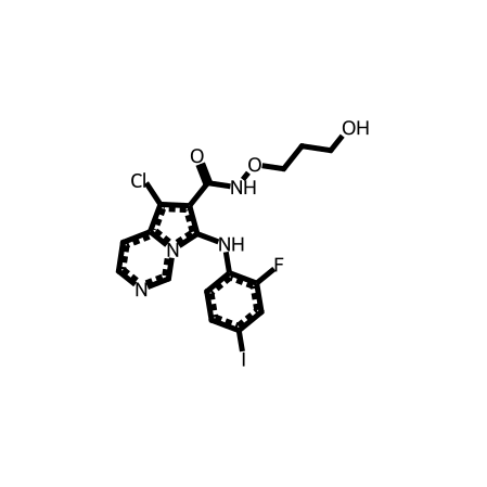 O=C(NOCCCO)c1c(Cl)c2ccncn2c1Nc1ccc(I)cc1F